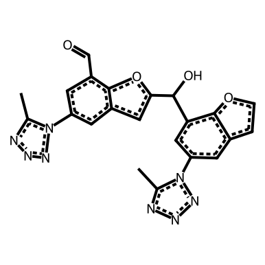 Cc1nnnn1-c1cc(C=O)c2oc(C(O)c3cc(-n4nnnc4C)cc4ccoc34)cc2c1